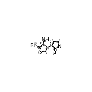 Cn1nccc1-c1csc(Br)c1N